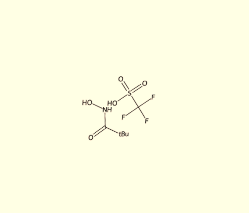 CC(C)(C)C(=O)NO.O=S(=O)(O)C(F)(F)F